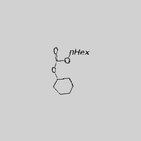 CCCCCCOC(=O)OC1CCCCC1